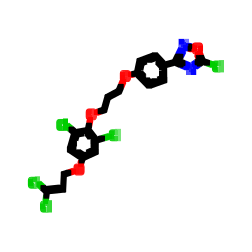 ClC(Cl)=CCOc1cc(Cl)c(OCCCOc2ccc(-c3noc(Cl)n3)cc2)c(Cl)c1